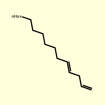 [CH]=CC/C=C/CCCCCCCCCCCC